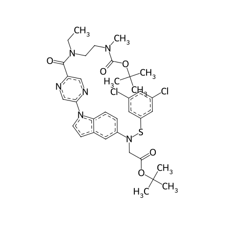 CCN(CCN(C)C(=O)OC(C)(C)C)C(=O)c1cnc(-n2ccc3cc(N(CC(=O)OC(C)(C)C)Sc4cc(Cl)cc(Cl)c4)ccc32)cn1